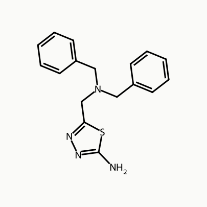 Nc1nnc(CN(Cc2ccccc2)Cc2ccccc2)s1